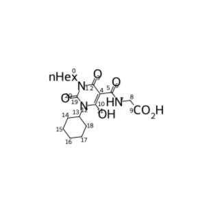 CCCCCCn1c(=O)c(C(=O)NCC(=O)O)c(O)n(C2CCCCC2)c1=O